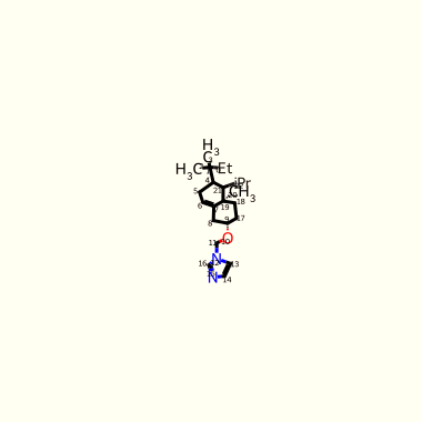 CCC(C)(C)C1CC=C2C[C@@H](OCn3ccnc3)CC[C@]2(C)C1C(C)C